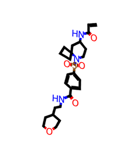 C=CC(=O)NC1CCN(S(=O)(=O)c2ccc(C(=O)NCCC3CCOCC3)cc2)C2(CCC2)C1